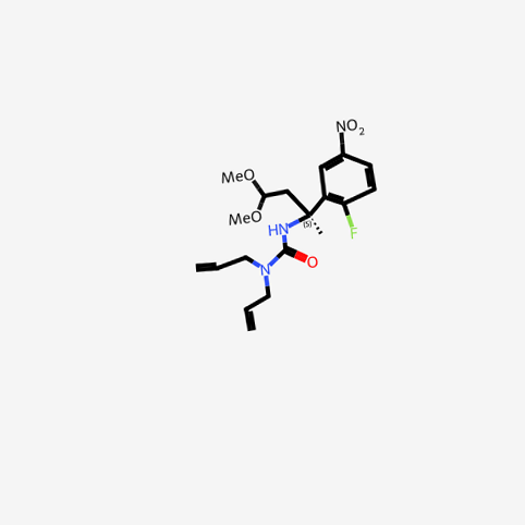 C=CCN(CC=C)C(=O)N[C@@](C)(CC(OC)OC)c1cc([N+](=O)[O-])ccc1F